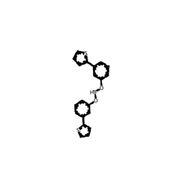 B(Oc1cccc(-c2cccs2)c1)Oc1cccc(-c2cccs2)c1